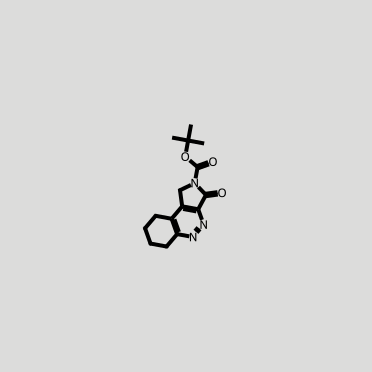 CC(C)(C)OC(=O)N1Cc2c(nnc3c2CCCC3)C1=O